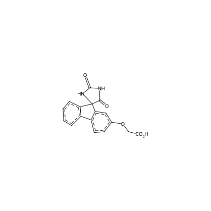 O=C(O)COc1ccc2c(c1)C1(NC(=O)NC1=O)c1ccccc1-2